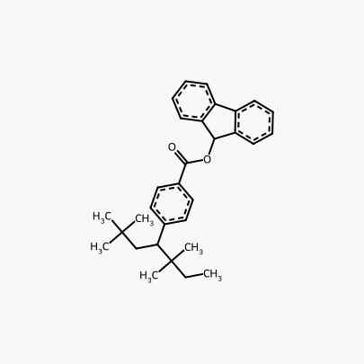 CCC(C)(C)C(CC(C)(C)C)c1ccc(C(=O)OC2c3ccccc3-c3ccccc32)cc1